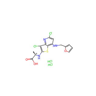 C[C@@H](Nc1sc2c(NCc3ccco3)cc(Cl)nc2c1Cl)C(=O)O.Cl.Cl